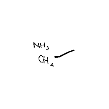 C.CC.N